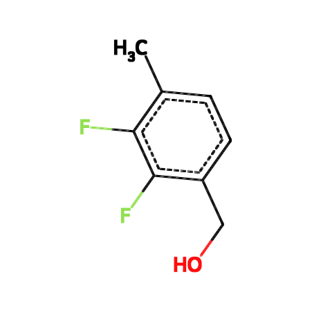 Cc1ccc(CO)c(F)c1F